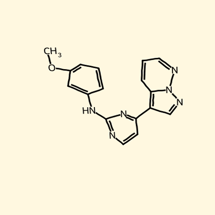 COc1cccc(Nc2nccc(-c3cnn4ncccc34)n2)c1